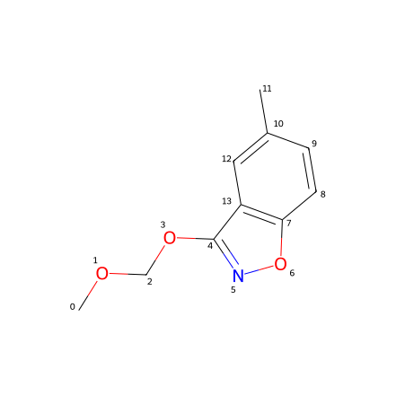 COCOc1noc2ccc(C)cc12